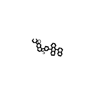 C/C=C\c1c(C)oc2cc3c(ccc4sc5cc(-c6c7ccccc7c(-c7cccc8ccccc78)c7ccccc67)ccc5c43)cc12